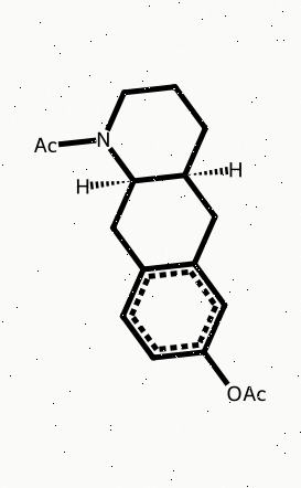 CC(=O)Oc1ccc2c(c1)C[C@@H]1CCCN(C(C)=O)[C@@H]1C2